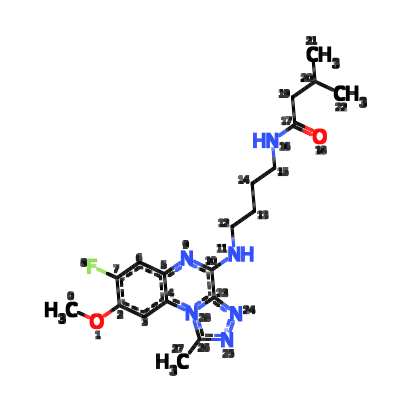 COc1cc2c(cc1F)nc(NCCCCNC(=O)CC(C)C)c1nnc(C)n12